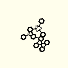 c1ccc(-c2nc(-c3ccccc3)nc(-c3cccc4c3c3cc(-c5cccc6c5-c5ccccc5C65c6ccccc6-c6ccccc65)ccc3n4-c3ccccc3)n2)cc1